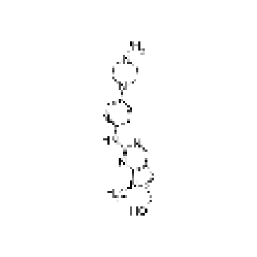 Cn1c(CO)cc2cnc(Nc3ccc(N4CCN(P)CC4)cn3)nc21